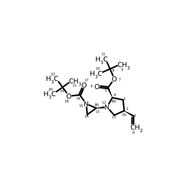 C=C[C@@H]1C[C@H](C(=O)OC(C)(C)C)N([C@H]2CN2C(=O)OC(C)(C)C)C1